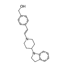 OCc1ccc(C=CN2CCC(N3CCc4ccccc43)CC2)cc1